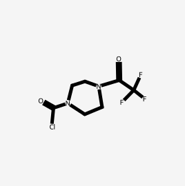 O=C(Cl)N1CCN(C(=O)C(F)(F)F)CC1